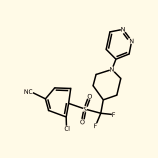 N#Cc1ccc(S(=O)(=O)C(F)(F)C2CCN(c3ccnnc3)CC2)c(Cl)c1